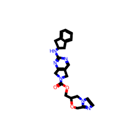 O=C(OCC1Cn2ccnc2CO1)N1Cc2cnc(NC3Cc4ccccc4C3)nc2C1